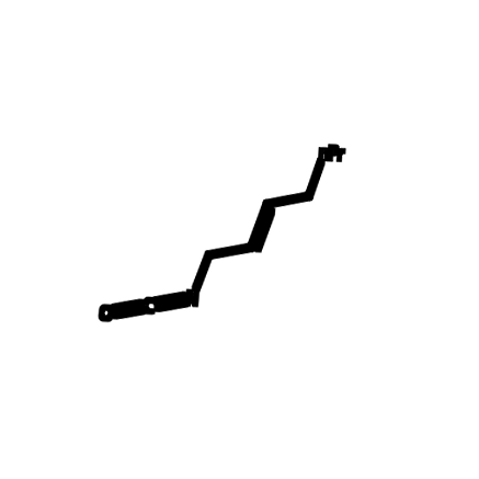 CCCCC=CCN=C=O